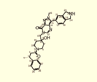 C[C@H](CC(=O)N1CCC(O)(Cn2cnc3c(-c4ccc5c(c4)CNC5)n(C)nc3c2=O)CC1)c1ccccc1